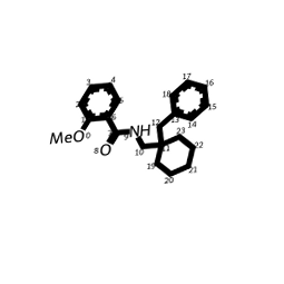 COc1ccccc1C(=O)NCC1(Cc2ccccc2)CCCCC1